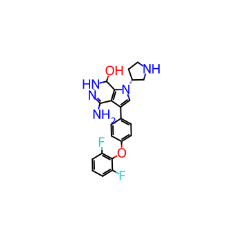 NC1=NNC(O)c2c1c(-c1ccc(Oc3c(F)cccc3F)cc1)cn2[C@@H]1CCNC1